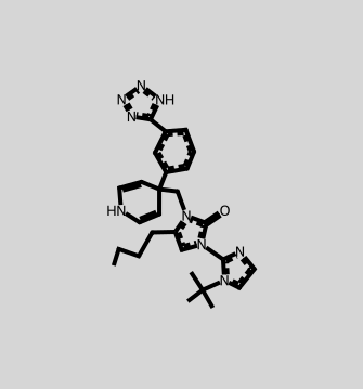 CCCCc1cn(-c2nccn2C(C)(C)C)c(=O)n1CC1(c2cccc(-c3nnn[nH]3)c2)C=CNC=C1